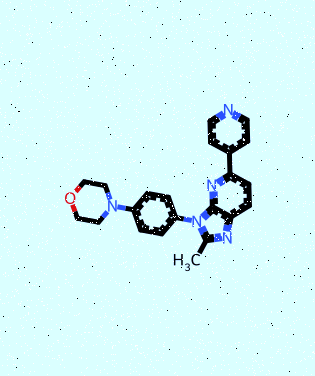 Cc1nc2ccc(-c3ccncc3)nc2n1-c1ccc(N2CCOCC2)cc1